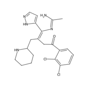 C/C(N)=N/C(=C(\CC(=O)c1cccc(Cl)c1Cl)CC1CCCCN1)c1ccn[nH]1